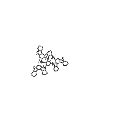 N#Cc1c(-n2c3ccccc3c3c4c(ccc32)sc2ccccc24)cc(-n2c3ccccc3c3c4c(ccc32)sc2ccccc24)c(C#N)c1-n1c2ccccc2c2c3c(ccc21)sc1ccccc13